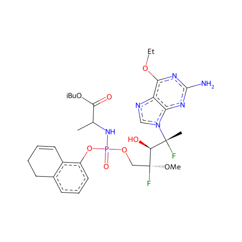 CCOc1nc(N)nc2c1ncn2[C@](C)(F)[C@H](O)[C@@](F)(COP(=O)(NC(C)C(=O)OCC(C)C)Oc1cccc2c1C=CCC2)OC